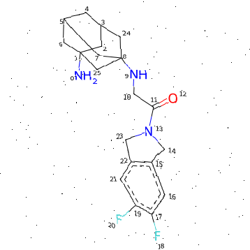 NC12CC3CC(C1)CC(NCC(=O)N1Cc4cc(F)c(F)cc4C1)(C3)C2